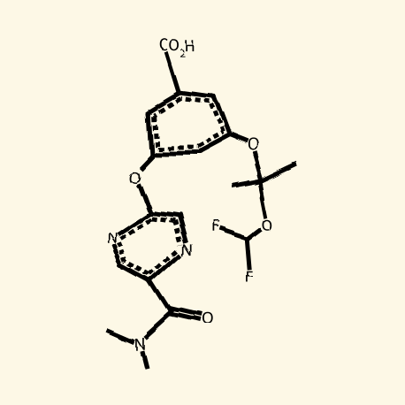 CN(C)C(=O)c1cnc(Oc2cc(OC(C)(C)OC(F)F)cc(C(=O)O)c2)cn1